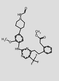 COC(=O)Cc1ccccc1CCc1nc(Nc2ccc(C3CCN(BC=O)CC3)cc2OC)ncc1C(F)(F)F